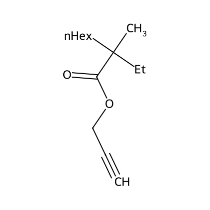 C#CCOC(=O)C(C)(CC)CCCCCC